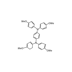 COC1=CC=C(N(c2ccc(OC)cc2)c2ccc(N(c3ccc(OC)cc3)c3ccc(OC)cc3)cc2)CC1